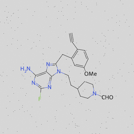 C#Cc1ccc(OC)cc1Cc1nc2c(N)nc(F)nc2n1CCC1CCN(C=O)CC1